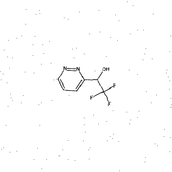 OC(c1cc[c]nn1)C(F)(F)F